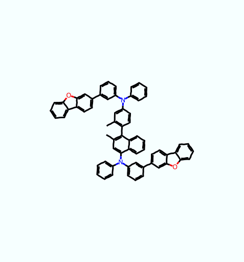 Cc1cc(N(c2ccccc2)c2cccc(-c3ccc4c(c3)oc3ccccc34)c2)ccc1-c1c(C)cc(N(c2ccccc2)c2cccc(-c3ccc4c(c3)oc3ccccc34)c2)c2ccccc12